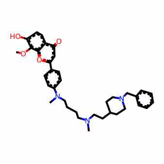 COc1c(O)ccc2c(=O)cc(-c3ccc(N(C)CCCCN(C)CCC4CCN(Cc5ccccc5)CC4)cc3)oc12